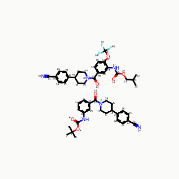 CC(C)(C)OC(=O)Nc1cccc(C(=O)N2CCC(c3ccc(C#N)cc3)CC2)c1.CC(C)COC(=O)Nc1cc(C(=O)N2CCC(c3ccc(C#N)cc3)CC2)ccc1OC(F)(F)F